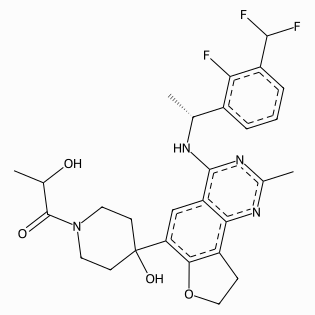 Cc1nc(N[C@H](C)c2cccc(C(F)F)c2F)c2cc(C3(O)CCN(C(=O)C(C)O)CC3)c3c(c2n1)CCO3